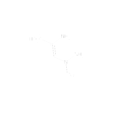 CC(C)(C)N(N)/C=C(\N)C(=O)O